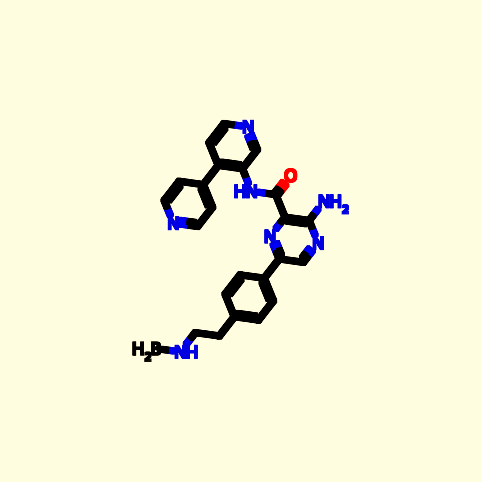 BNCCc1ccc(-c2cnc(N)c(C(=O)Nc3cnccc3-c3ccncc3)n2)cc1